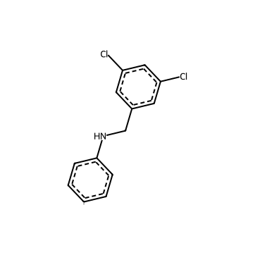 Clc1cc(Cl)cc(CNc2cc[c]cc2)c1